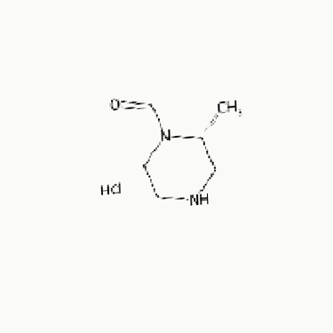 C[C@@H]1CNCCN1C=O.Cl